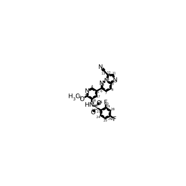 COc1ncc(-c2ccc3ncc(C#N)n3n2)cc1NS(=O)(=O)c1ccc(F)cc1F